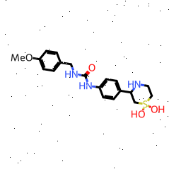 COc1ccc(CNC(=O)Nc2ccc(C3CS(O)(O)CCN3)cc2)cc1